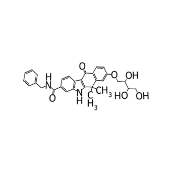 CC1(C)c2cc(OCC(O)C(O)CO)ccc2C(=O)c2c1[nH]c1cc(C(=O)NCc3ccccc3)ccc21